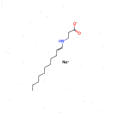 CCCCCCCCCC=CNCCC(=O)[O-].[Na+]